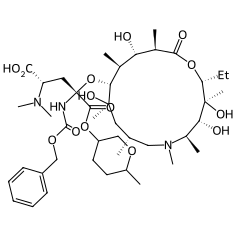 CC[C@H]1OC(=O)[C@H](C)[C@@H](O)[C@H](C)[C@@H](O[C@@](C[C@@H](C(=O)O)N(C)C)(NC(=O)OCc2ccccc2)C(=O)OC2CCC(C)OC2)[C@](C)(O)C[C@@H](C)CN(C)[C@H](C)[C@@H](O)[C@]1(C)O